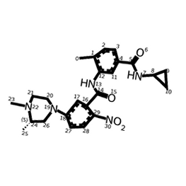 Cc1ccc(C(=O)NC2CC2)cc1NC(=O)c1cc(N2CCN(C)[C@@H](C)C2)ccc1[N+](=O)[O-]